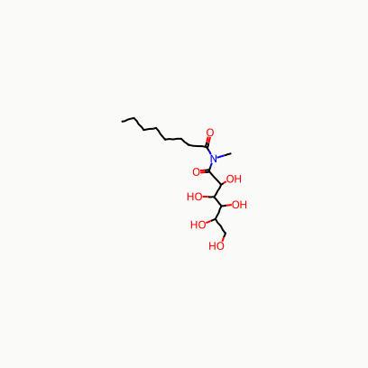 CCCCCCCC(=O)N(C)C(=O)C(O)C(O)C(O)C(O)CO